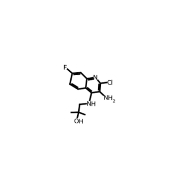 CC(C)(O)CNc1c(N)c(Cl)nc2cc(F)ccc12